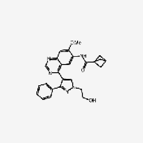 COc1cc2ncnc(-c3cn(CCO)nc3-c3ccccc3)c2cc1NC(=O)C12CC(C1)C2